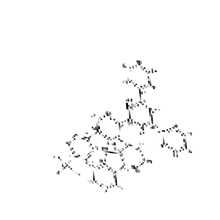 CC(C)(C)c1ccc2c(c1)C1(c3ccccc3-c3ccccc31)c1cc(-c3nc(-c4ccccc4)nc(-c4ccccc4)n3)ccc1-2